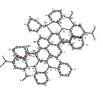 CC(C)c1cc(C(C)C)c(B2c3ccccc3N(c3ccccc3)c3c2c(-c2ccccc2)c2ccc4c5c(c(-c6ccccc6)c6ccc3c2c64)B(c2c(C(C)C)cc(C(C)C)cc2C(C)C)c2ccccc2N5c2ccccc2)c(C(C)C)c1